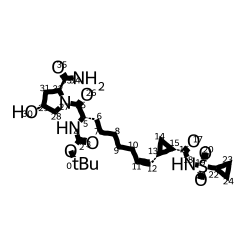 CC(C)(C)OC(=O)N[C@@H](CCCCC/C=C\[C@@H]1C[C@@H]1C(=O)NS(=O)(=O)C1CC1)C(=O)N1C[C@H](O)C[C@H]1C(N)=O